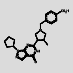 CC1CN(Cc2ccc(C(=O)O)cc2)CC1c1nc2c(cnn2C2CCCC2)c(=O)[nH]1